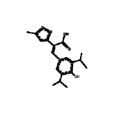 Cc1cc(C(=Cc2cc(C(C)C)c(O)c(C(C)C)c2)C(=O)O)on1